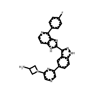 NC1CN(c2cncc(-c3ccc4[nH]nc(-c5nc6c(-c7ccc(F)cc7)nccc6[nH]5)c4c3)n2)C1